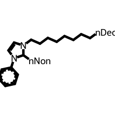 CCCCCCCCCCCCCCCCCCN1C=CN(c2ccccc2)C1CCCCCCCCC